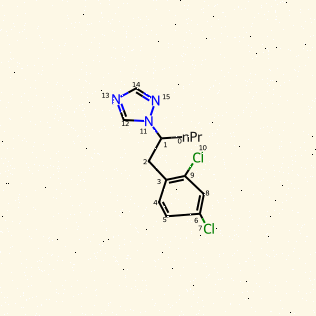 CCCC(Cc1ccc(Cl)cc1Cl)n1cncn1